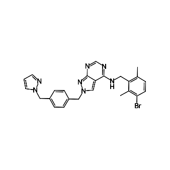 Cc1ccc(Br)c(C)c1CNc1ncnc2nn(Cc3ccc(Cn4cccn4)cc3)cc12